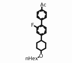 CCCCCCOC1CCC(c2ccc(-c3ccc(C(C)=O)cc3)c(F)c2)CC1